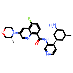 C[C@@H]1C[C@H](N)C[C@H](c2ccncc2NC(=O)c2ccc(F)c3cc(N4CCOC[C@H]4C)cnc23)C1